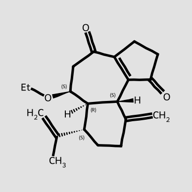 C=C1CC[C@H](C(=C)C)[C@@H]2[C@@H]1C1=C(CCC1=O)C(=O)C[C@@H]2OCC